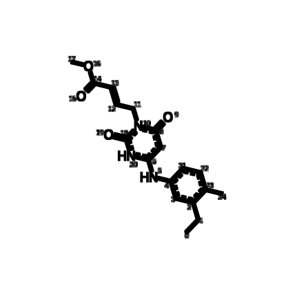 CCc1cc(Nc2cc(=O)n(CC=CC(=O)OC)c(=O)[nH]2)ccc1C